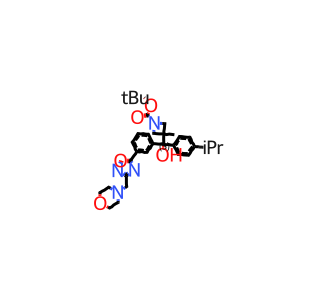 CC(C)c1ccc([C@](O)(c2cccc(-c3nc(CN4CCOCC4)no3)c2)C2(C)CN(C(=O)OC(C)(C)C)C2)cc1